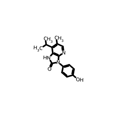 Cc1cnc2c([nH]c(=O)n2-c2ccc(O)cc2)c1C(C)C